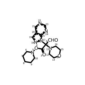 O=CC(C(=O)ON1CCCCC1)(N1CCOCC1)n1ncc2cncnc21